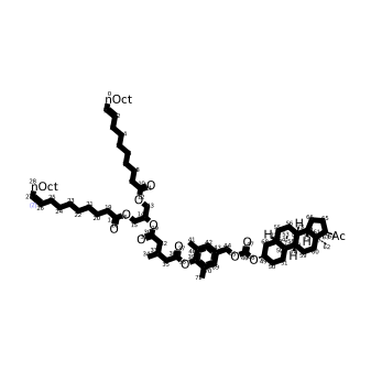 CCCCCCCCC=CCCCCCCCC(=O)OCC(COC(=O)CCCCCCC/C=C\CCCCCCCC)OC(=O)CC(C)CC(=O)Oc1c(C)cc(COC(=O)O[C@H]2CC[C@@]3(C)[C@@H](CC[C@@H]4[C@@H]3CC[C@]3(C)[C@@H](C(C)=O)CC[C@@H]43)C2)cc1C